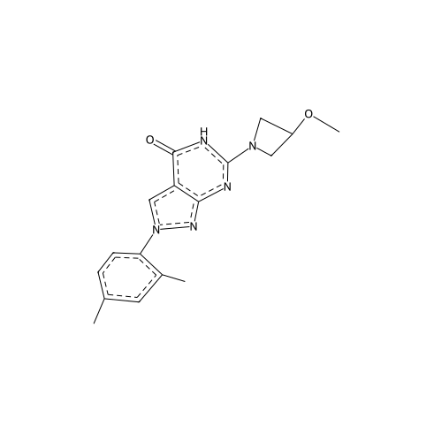 COC1CN(c2nc3nn(-c4ccc(C)cc4C)cc3c(=O)[nH]2)C1